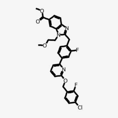 COCCn1c(Cc2ccc(-c3cccc(OCc4ccc(Cl)cc4F)n3)cc2F)nc2ccc(C(=O)OC)cc21